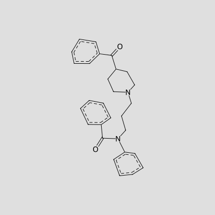 O=C(c1ccccc1)C1CCN(CCCN(C(=O)c2ccccc2)c2ccccc2)CC1